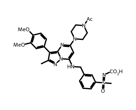 COc1ccc(-c2c(C)nn3c(NCc4cccc(S(C)(=O)=NC(=O)O)c4)cc(N4CCN(C(C)=O)CC4)nc23)cc1OC